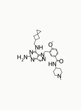 COc1ccc(C(=O)NC2CCN(C)CC2)cc1Cn1ncc2nc(N)nc(NCC3CC4(CC4)C3)c21